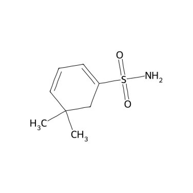 CC1(C)C=CC=C(S(N)(=O)=O)C1